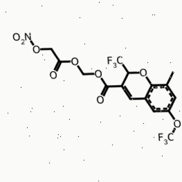 Cc1cc(OC(F)(F)F)cc2c1OC(C(F)(F)F)C(C(=O)OCOC(=O)CO[N+](=O)[O-])=C2